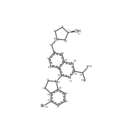 O[C@@H]1CCN(Cc2cnc3c(N4CCc5c(Br)cccc54)nc(C(F)F)nc3c2)C1